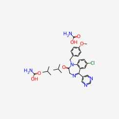 CC(C)C.CC(C)C.COc1ccc(CN2C(=O)CN=C(c3cncnc3)c3cc(Cl)ccc32)cc1.NC(=O)O.NC(=O)O